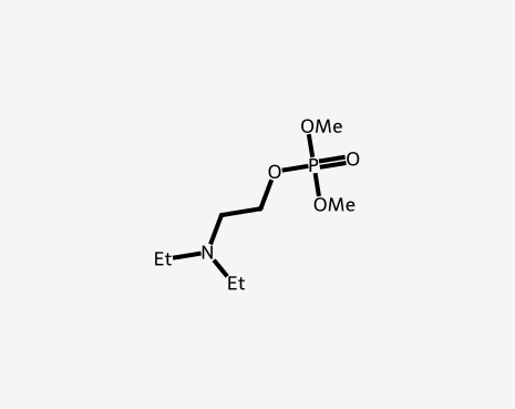 CCN(CC)CCOP(=O)(OC)OC